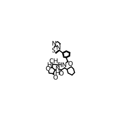 C[C@H]1CN(C(=O)[C@@H](NC(=O)c2cccc(C3=CSC4=NCCN34)c2)C2CCCCC2)[C@@H]2C(=O)CO[C@@H]21